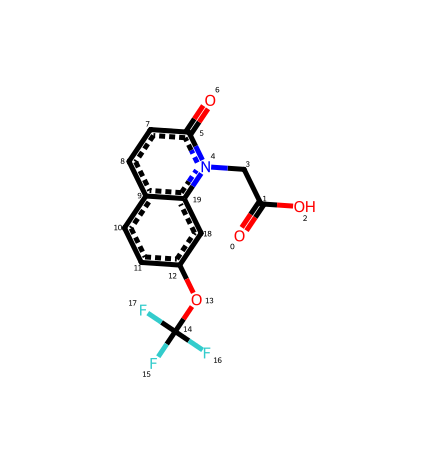 O=C(O)Cn1c(=O)ccc2ccc(OC(F)(F)F)cc21